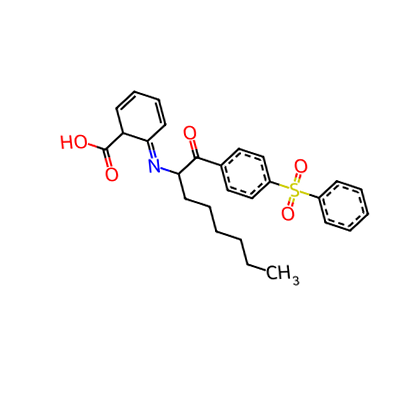 CCCCCCC(N=C1C=CC=CC1C(=O)O)C(=O)c1ccc(S(=O)(=O)c2ccccc2)cc1